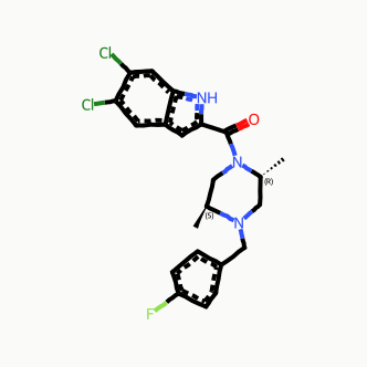 C[C@@H]1CN(Cc2ccc(F)cc2)[C@@H](C)CN1C(=O)c1cc2cc(Cl)c(Cl)cc2[nH]1